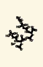 O=C([O-])C[C@H](NC(=O)CP(=O)(O)O)C(=O)[O-].O=C([O-])C[C@H](NC(=O)CP(=O)(O)O)C(=O)[O-].[Na+].[Na+].[Na+].[Na+]